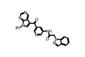 CC(C)n1cc(C(=O)c2cncc(NC(=O)Cn3ncc4ccccc43)c2)c2cncnc21